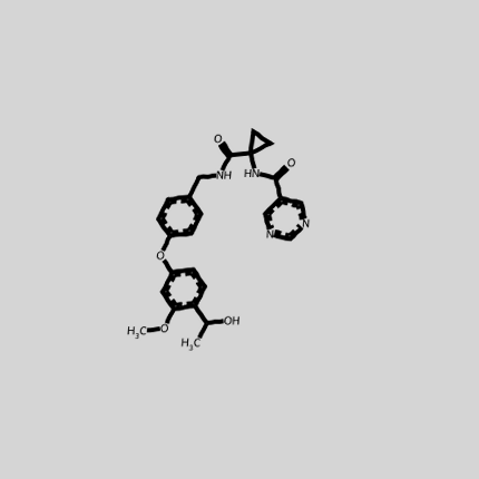 COc1cc(Oc2ccc(CNC(=O)C3(NC(=O)c4cncnc4)CC3)cc2)ccc1C(C)O